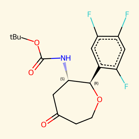 CC(C)(C)OC(=O)N[C@H]1CC(=O)CCO[C@@H]1c1cc(F)c(F)cc1F